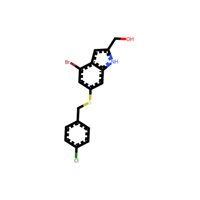 OCc1cc2c(Br)cc(SCc3ccc(Cl)cc3)cc2[nH]1